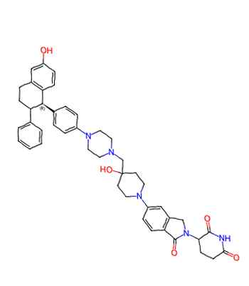 O=C1CCC(N2Cc3cc(N4CCC(O)(CN5CCN(c6ccc([C@@H]7c8ccc(O)cc8CCC7c7ccccc7)cc6)CC5)CC4)ccc3C2=O)C(=O)N1